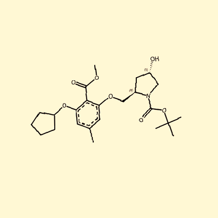 COC(=O)c1c(OC[C@H]2C[C@H](O)CN2C(=O)OC(C)(C)C)cc(C)cc1OC1CCCC1